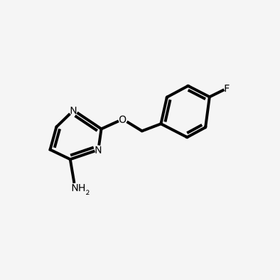 Nc1ccnc(OCc2ccc(F)cc2)n1